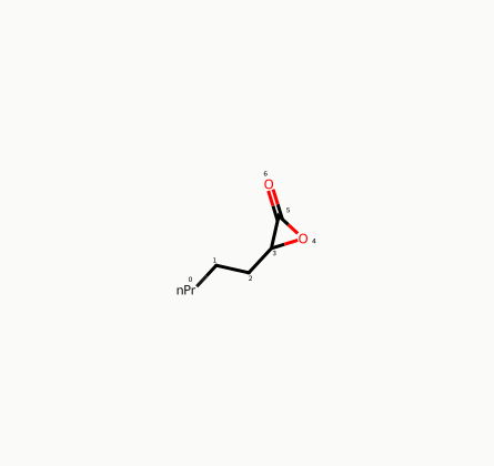 CCCCCC1OC1=O